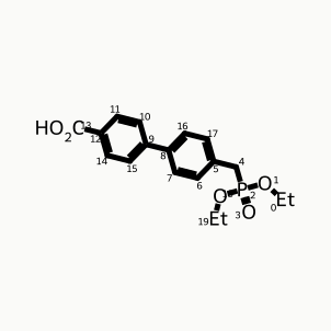 CCOP(=O)(Cc1ccc(-c2ccc(C(=O)O)cc2)cc1)OCC